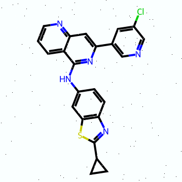 Clc1cncc(-c2cc3ncccc3c(Nc3ccc4nc(C5CC5)sc4c3)n2)c1